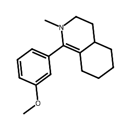 COc1cccc(C2=C3CCCCC3CCN2C)c1